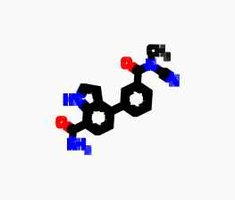 CN(C#N)C(=O)c1cccc(-c2ccc(C(N)=O)c3[nH]ccc23)c1